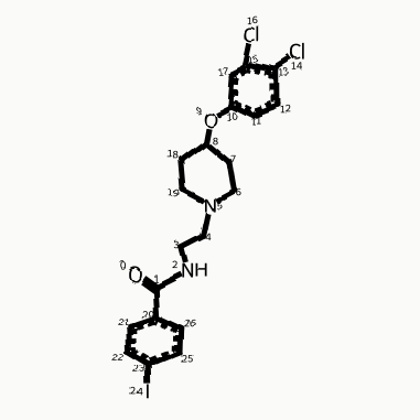 O=C(NCCN1CCC(Oc2ccc(Cl)c(Cl)c2)CC1)c1ccc(I)cc1